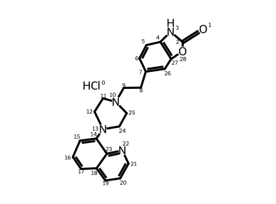 Cl.O=c1[nH]c2ccc(CCN3CCN(c4cccc5cccnc45)CC3)cc2o1